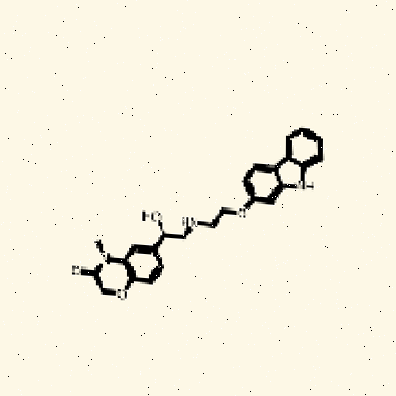 CN1C(=O)COc2ccc([C@@H](O)CNCCOc3ccc4c(c3)[nH]c3ccccc34)cc21